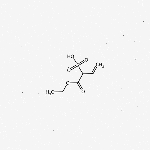 C=CC(C(=O)OCC)S(=O)(=O)O